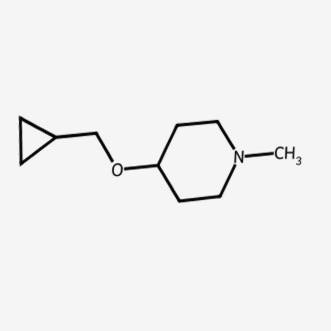 CN1CCC(OCC2CC2)CC1